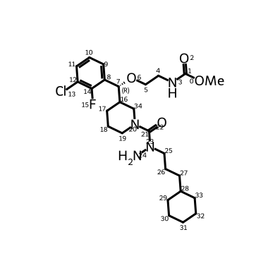 COC(=O)NCCO[C@@H](c1cccc(Cl)c1F)C1CCCN(C(=O)N(N)CCCC2CCCCC2)C1